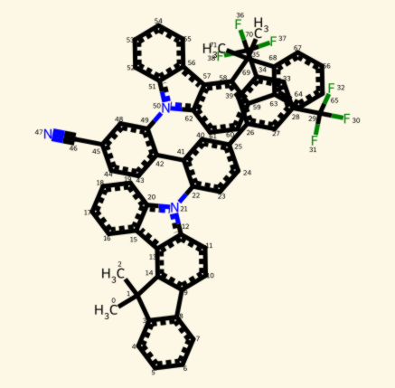 CC1(C)c2ccccc2-c2ccc3c(c21)c1ccccc1n3-c1ccc(-c2cc(C(F)(F)F)cc(C(F)(F)F)c2)cc1-c1ccc(C#N)cc1-n1c2ccccc2c2c3c(ccc21)-c1ccccc1C3(C)C